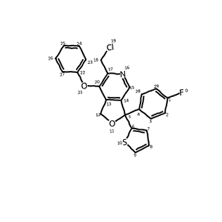 Fc1ccc(C2(c3cccs3)OCc3c2cnc(CCl)c3Oc2ccccc2)cc1